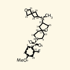 COc1ccc(S(=O)(=O)N2CCC3(CC2)CC(N(C)C2CC4(COC4)C2)CO3)c(F)c1